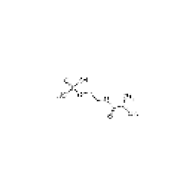 C=C(C)C(=O)OCCOP(=O)(S)S